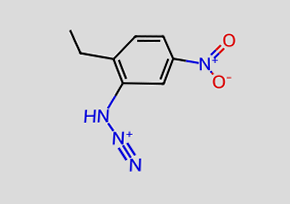 CCc1ccc([N+](=O)[O-])cc1N[N+]#N